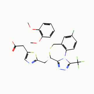 COc1cccc([C@H]2S[C@H](Cc3ncc(CC(=O)O)s3)c3nnc(C(F)(F)F)n3-c3ccc(Cl)cc32)c1OC